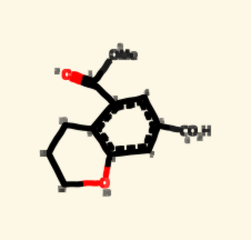 COC(=O)c1cc(C(=O)O)cc2c1CCCO2